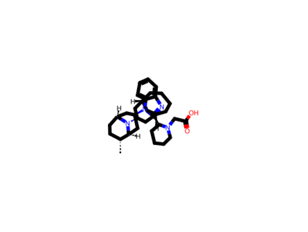 C[C@@H]1CC[C@H]2C[C@@H](n3c([C@@H]4CCCCN4CC(=O)O)nc4ccccc43)C[C@@H]1N2[C@@H]1C[C@@H]2CCCC[C@@H](C2)C1